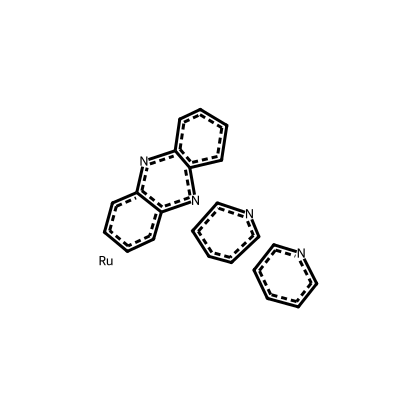 [Ru].c1ccc2nc3ccccc3nc2c1.c1ccncc1.c1ccncc1